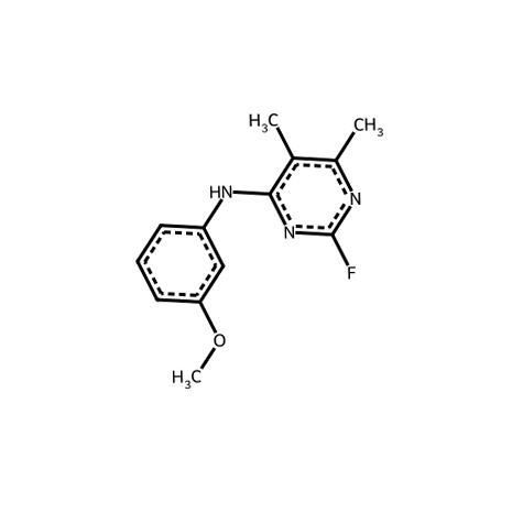 COc1cccc(Nc2nc(F)nc(C)c2C)c1